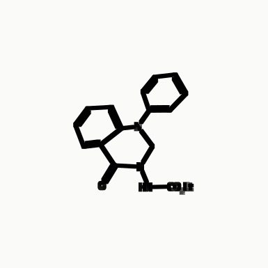 CCOC(=O)NN1CN(c2ccccc2)c2ccccc2C1=O